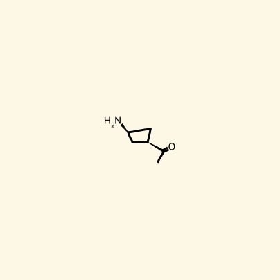 CC(=O)[C@H]1C[C@@H](N)C1